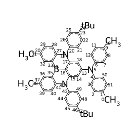 Cc1ccc(N(c2ccc(C)cc2)c2cc3c4c(c2)N(c2ccc(C(C)(C)C)cc2)c2ccc(C)cc2B4c2cc(C)ccc2N3c2ccc(C(C)(C)C)cc2)cc1